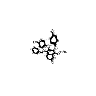 CCCCOc1c(Oc2ccc(CC)cc2)c(Oc2ccc(CC)cc2)c(OCc2ccccc2)c2ccc(Cl)cc12